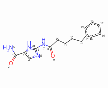 NC(=O)c1cnc(NC(=O)CCCCc2ccccc2)[nH]1